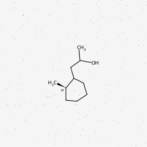 CC(O)CC1CCCC[C@H]1C